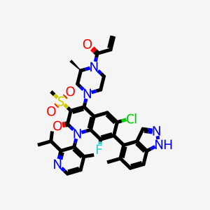 C=CC(=O)N1CCN(c2c(S(C)(=O)=O)c(=O)n(-c3c(C)ccnc3C(C)C)c3c(F)c(-c4c(C)ccc5[nH]ncc45)c(Cl)cc23)C[C@H]1C